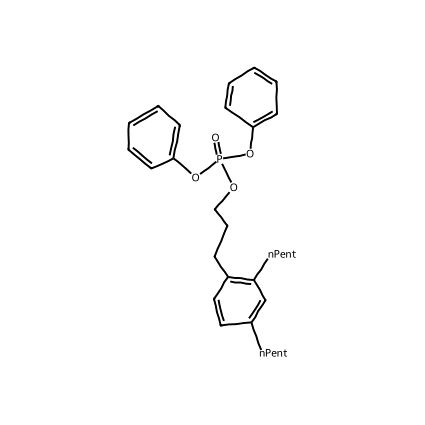 CCCCCc1ccc(CCCOP(=O)(Oc2ccccc2)Oc2ccccc2)c(CCCCC)c1